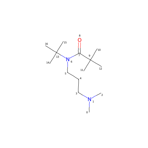 CN(C)CCCN(C(=O)C(C)(C)C)C(C)(C)C